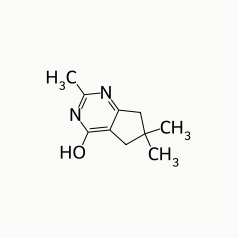 Cc1nc(O)c2c(n1)CC(C)(C)C2